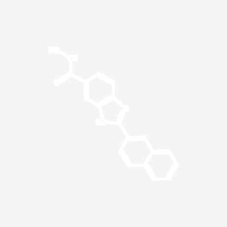 O=C(NO)c1ccc2nc(-c3ccc4ccccc4c3)[nH]c2c1